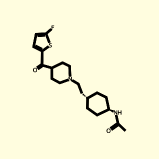 CC(=O)N[C@H]1CC[C@H](CCN2CCC(C(=O)c3ccc(F)s3)CC2)CC1